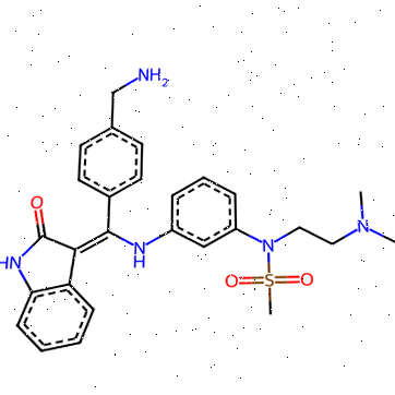 CN(C)CCN(c1cccc(NC(=C2C(=O)Nc3ccccc32)c2ccc(CN)cc2)c1)S(C)(=O)=O